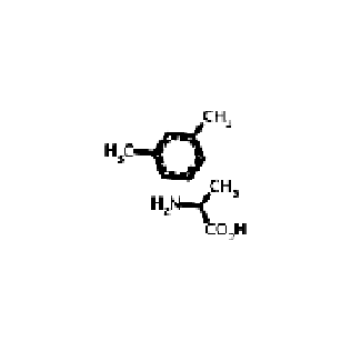 CC(N)C(=O)O.Cc1cccc(C)c1